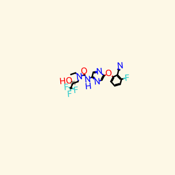 CCN(C[C@@H](O)C(F)(F)F)C(=O)Nc1cnc(Oc2cccc(F)c2C#N)cn1